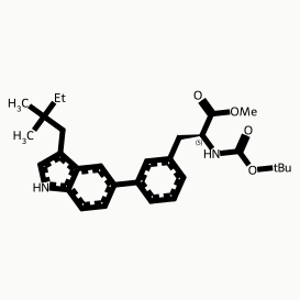 CCC(C)(C)Cc1c[nH]c2ccc(-c3cccc(C[C@H](NC(=O)OC(C)(C)C)C(=O)OC)c3)cc12